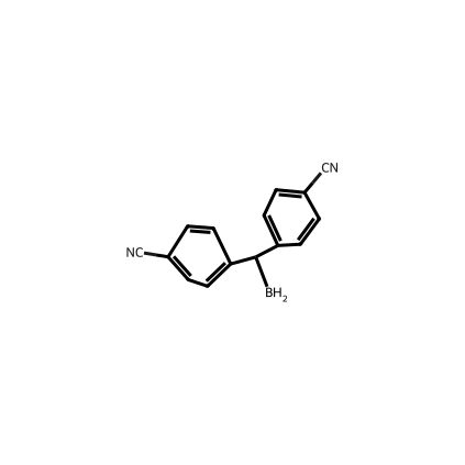 BC(c1ccc(C#N)cc1)c1ccc(C#N)cc1